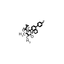 CC1=C(C)N(C(=O)C2CC2)C(C)(c2ccc(-c3ccc(F)cc3)cc2)N(N2CCCC2)C1=O